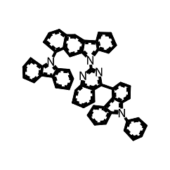 c1ccc(-n2c3ccccc3c3c(-c4nc(-n5c6ccccc6c6cc7cccc(-n8c9ccccc9c9ccccc98)c7cc65)nc5ccccc45)cccc32)cc1